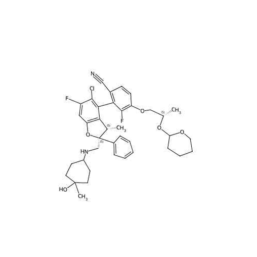 C[C@@H](COc1ccc(C#N)c(-c2c(Cl)c(F)cc3c2[C@H](C)[C@@](CNC2CCC(C)(O)CC2)(c2ccccc2)O3)c1F)OC1CCCCO1